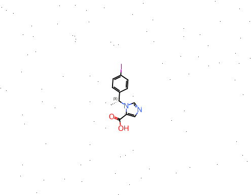 C[C@H](c1ccc(I)cc1)n1cncc1C(=O)O